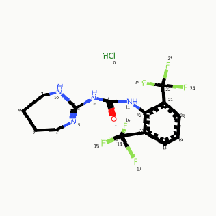 Cl.O=C(NC1=NCCCCN1)Nc1c(C(F)(F)F)cccc1C(F)(F)F